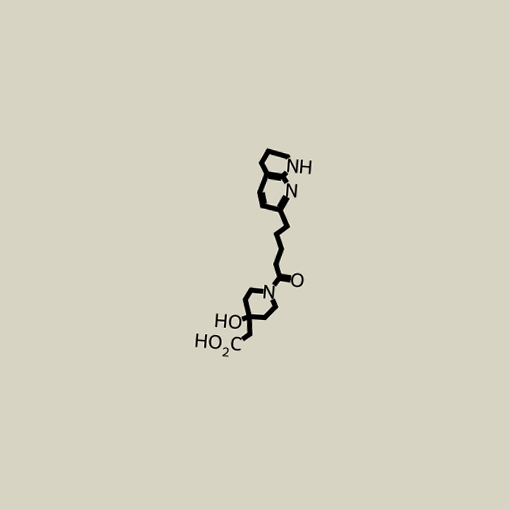 O=C(O)CC1(O)CCN(C(=O)CCCCc2ccc3c(n2)NCCC3)CC1